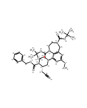 CSc1nc2c(c(N3CCN(C(=O)OCc4ccccc4)[C@@H](CC#N)C3)n1)N(C(=O)OC(C)(C)C)CCN(C(=O)OC(C)(C)C)C2